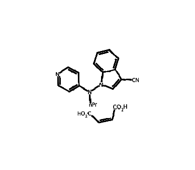 CCCN(c1ccncc1)n1cc(C#N)c2ccccc21.O=C(O)/C=C\C(=O)O